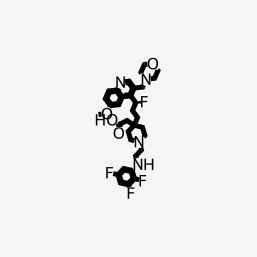 COc1ccc2ncc(CN3CCOCC3)c([C@@H](F)CCC3(CC(=O)O)CCN(CCNc4cc(F)cc(F)c4F)CC3)c2c1